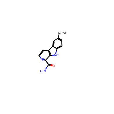 CC(=O)Nc1ccc2[nH]c3c(C(N)=O)nccc3c2c1